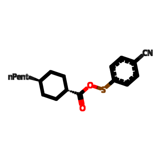 CCCCC[C@H]1CC[C@H](C(=O)OSc2ccc(C#N)cc2)CC1